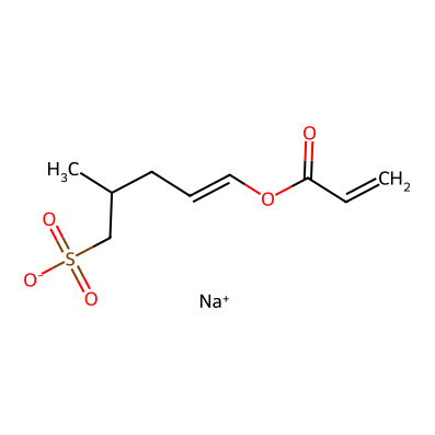 C=CC(=O)OC=CCC(C)CS(=O)(=O)[O-].[Na+]